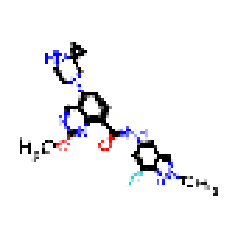 COc1ncc2c(N3CCNC4(CC4)C3)ccc(C(=O)Nc3cc(F)c4nn(C)cc4c3)c2n1